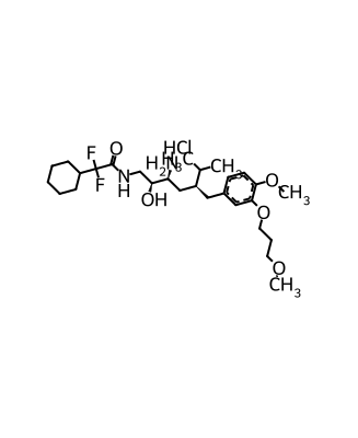 COCCCOc1cc(C[C@@H](C[C@H](N)[C@@H](O)CNC(=O)C(F)(F)C2CCCCC2)C(C)C)ccc1OC.Cl